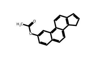 CC(=O)Oc1ccc2ccc3c4c(ccc3c2c1)C=CC4